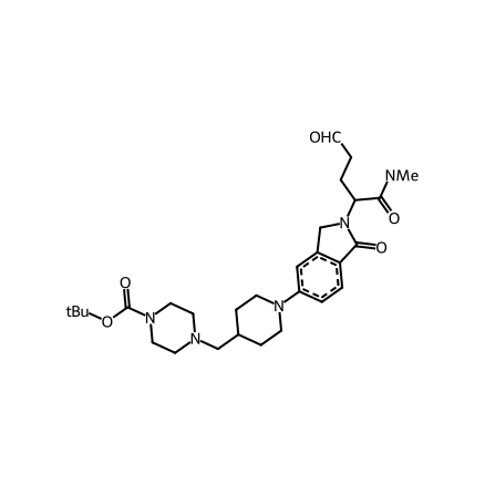 CNC(=O)C(CCC=O)N1Cc2cc(N3CCC(CN4CCN(C(=O)OC(C)(C)C)CC4)CC3)ccc2C1=O